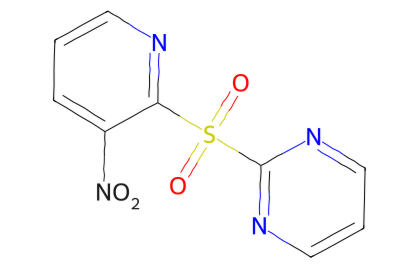 O=[N+]([O-])c1cccnc1S(=O)(=O)c1ncccn1